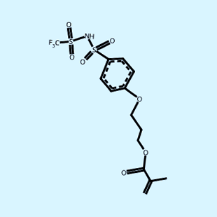 C=C(C)C(=O)OCCCOc1ccc(S(=O)(=O)NS(=O)(=O)C(F)(F)F)cc1